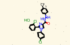 Cl.O=C(NNc1ccc(C(F)(F)F)cc1)c1cn(-c2ccc(Cl)cc2)c(-c2ccccc2Cl)n1